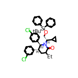 CCC1C[C@H](c2cccc(Cl)c2)[C@@H](c2ccc(Cl)cc2)N([C@H](CO[Si](c2ccccc2)(c2ccccc2)C(C)(C)C)C2CC2)C1=O